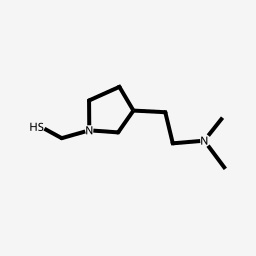 CN(C)CCC1CCN(CS)C1